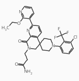 CCOc1ncccc1-c1ccc2c(n1)C(=O)N(CCC(N)=O)CC21CCN(c2cccc(Cl)c2C(F)(F)F)CC1